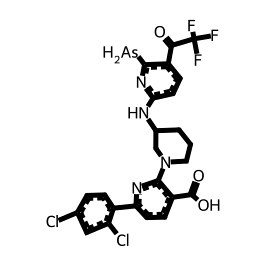 O=C(O)c1ccc(-c2ccc(Cl)cc2Cl)nc1N1CCCC(Nc2ccc(C(=O)C(F)(F)F)c([AsH2])n2)C1